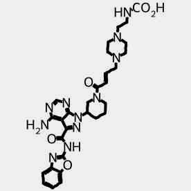 Nc1ncnc2c1c(C(=O)Nc1nc3ccccc3o1)nn2C1CCCN(C(=O)C=CCN2CCN(CCNC(=O)O)CC2)C1